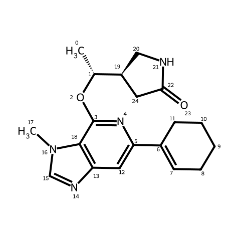 C[C@@H](Oc1nc(C2=CCCCC2)cc2ncn(C)c12)[C@H]1CNC(=O)C1